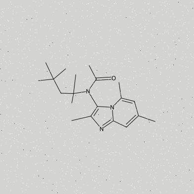 CC(=O)N(c1c(C)nc2cc(C)cc(C)n12)C(C)(C)CC(C)(C)C